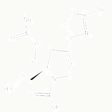 C=CC[C@@]1(COC(N)=O)CC(c2csc(S)n2)=CCN1C(=O)O